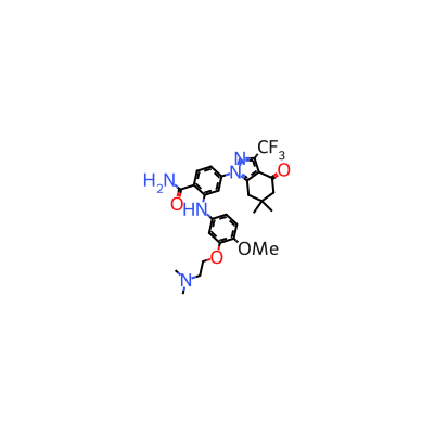 COc1ccc(Nc2cc(-n3nc(C(F)(F)F)c4c3CC(C)(C)CC4=O)ccc2C(N)=O)cc1OCCN(C)C